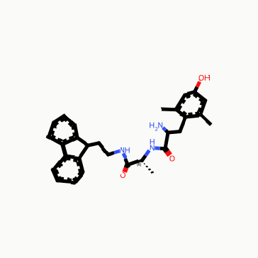 Cc1cc(O)cc(C)c1CC(N)C(=O)N[C@H](C)C(=O)NCCC1c2ccccc2-c2ccccc21